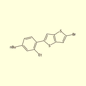 CCCCc1ccc(-c2cc3sc(Br)cc3s2)c(CC)c1